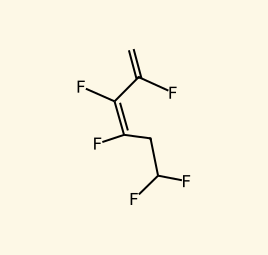 C=C(F)/C(F)=C(/F)CC(F)F